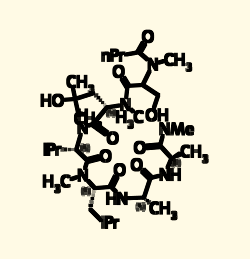 CCCC(=O)N(C)C(CO)C(=O)N(C)[C@@H](CC(C)(C)O)C(=O)N[C@H](C(=O)N(C)[C@@H](CC(C)C)C(=O)N[C@@H](C)C(=O)N[C@H](C)C(=O)NC)C(C)C